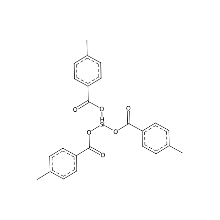 Cc1ccc(C(=O)O[SiH](OC(=O)c2ccc(C)cc2)OC(=O)c2ccc(C)cc2)cc1